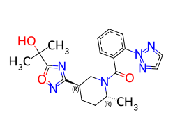 C[C@@H]1CC[C@@H](c2noc(C(C)(C)O)n2)CN1C(=O)c1ccccc1-n1nccn1